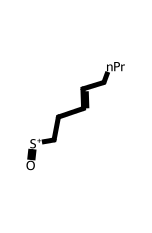 CCCCC=CCC[S+]=O